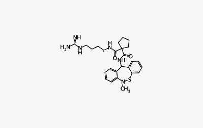 CN1Sc2ccccc2C(NC(=O)C2(C(=O)N[CH]CCCNC(=N)N)CCCC2)c2ccccc21